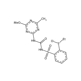 CC[S+]([O-])c1ccccc1S(=O)(=O)NC(=O)Nc1nc(C)nc(OC)n1